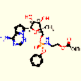 CC(C)COC(=O)OCCNP(=O)(OC[C@@]1(C)O[C@@H](c2ccc3c(N)ncnn23)[C@H](O)[C@@H]1O)Oc1ccccc1